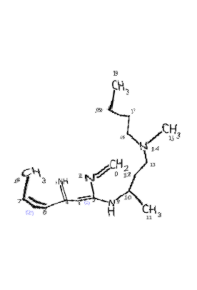 C=N/C(=C\C(=N)/C=C\C)NC(C)CCN(C)CCCC